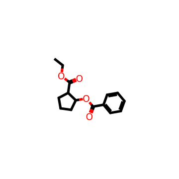 CCOC(=O)C1CCCC1OC(=O)c1ccccc1